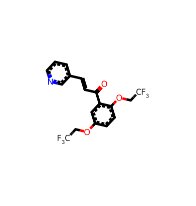 O=C(C=Cc1cccnc1)c1cc(OCC(F)(F)F)ccc1OCC(F)(F)F